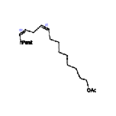 CCCCC/C=C\C/C=C\CCCCCCCCOC(C)=O